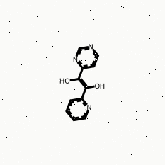 O/C(=C(/O)c1ccncn1)c1ccccn1